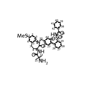 CSc1ccc2c(c1)CC[C@@H](NC(=O)C(C)(C)N)C(=O)N2Cc1ccc(-c2ccccc2S(=O)(=O)NC(=O)c2ccccc2)cc1